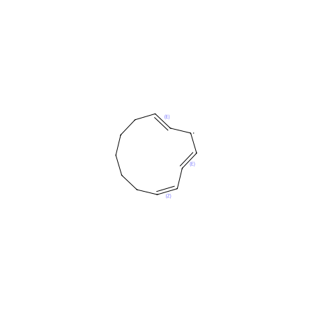 [CH]1/C=C/C=C\CCCCC/C=C/1